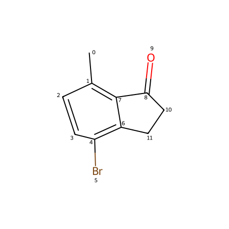 Cc1ccc(Br)c2c1C(=O)CC2